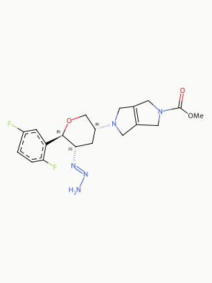 COC(=O)N1CC2=C(C1)CN([C@H]1CO[C@H](c3cc(F)ccc3F)[C@@H](N=NN)C1)C2